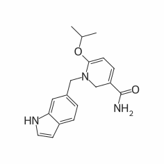 CC(C)OC1=CC=C(C(N)=O)CN1Cc1ccc2cc[nH]c2c1